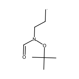 [CH2]CCN(C=O)OC(C)(C)C